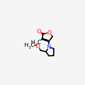 COCC1CCCN1C1=C(C)C(=O)OC1